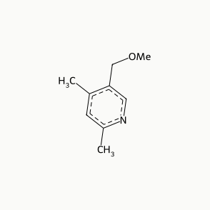 COCc1cnc(C)cc1C